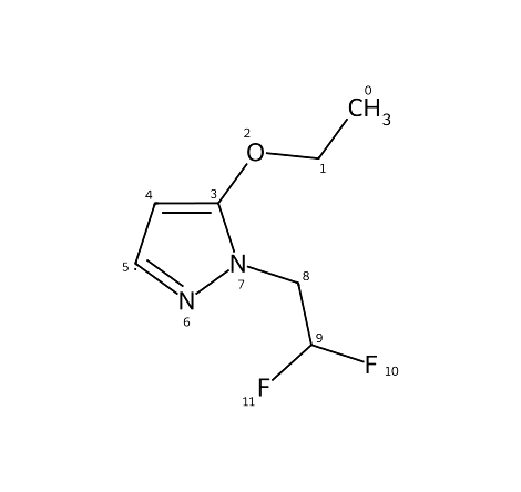 CCOc1c[c]nn1CC(F)F